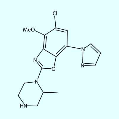 COc1c(Cl)cc(-n2cccn2)c2oc(N3CCNCC3C)nc12